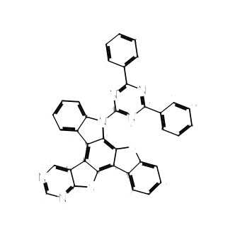 c1ccc(-c2nc(-c3ccccc3)nc(-n3c4ccccc4c4c5c6cncnc6sc5c5c6ccccc6sc5c43)n2)cc1